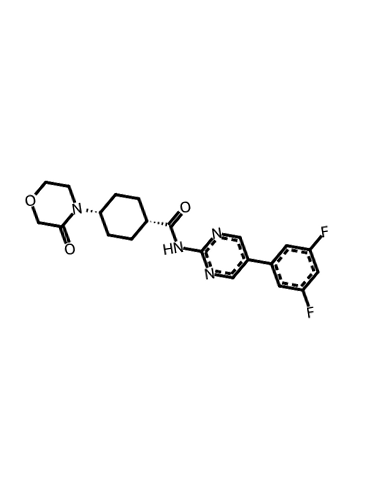 O=C1COCCN1[C@H]1CC[C@@H](C(=O)Nc2ncc(-c3cc(F)cc(F)c3)cn2)CC1